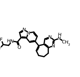 CNc1ncc2c(n1)CCCC=C2c1ccn2ncc(C(=O)NCC(F)F)c2c1